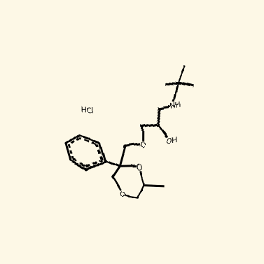 CC1COCC(COCC(O)CNC(C)(C)C)(c2ccccc2)O1.Cl